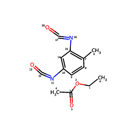 CCOC(C)=O.Cc1ccc(N=C=O)cc1N=C=O